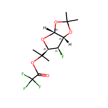 CC1(C)O[C@H]2O[C@H](C(C)(C)OC(=O)C(F)(F)F)[C@H](F)[C@H]2O1